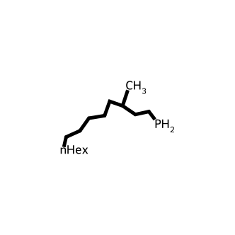 CCCCCCCCCCCC(C)CCP